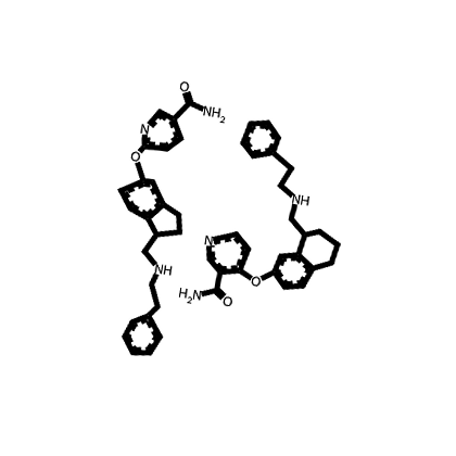 NC(=O)c1ccc(Oc2ccc3c(c2)CCC3CNCCc2ccccc2)nc1.NC(=O)c1cnccc1Oc1ccc2c(c1)C(CNCCc1ccccc1)CCC2